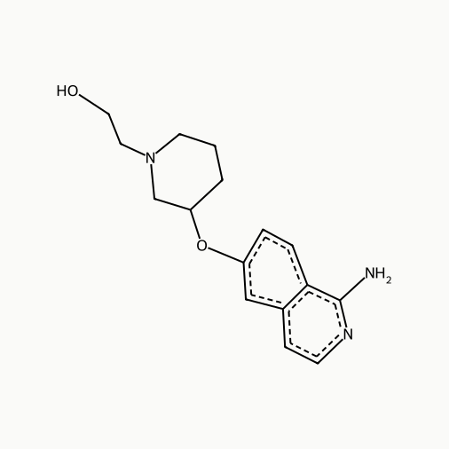 Nc1nccc2cc(OC3CCCN(CCO)C3)ccc12